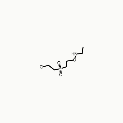 CCNOCCS(=O)(=O)CCCl